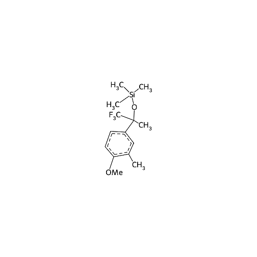 COc1ccc(C(C)(O[Si](C)(C)C)C(F)(F)F)cc1C